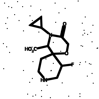 O=C(O)C1N(C2CC2)C(=O)COC12CCNCC2F